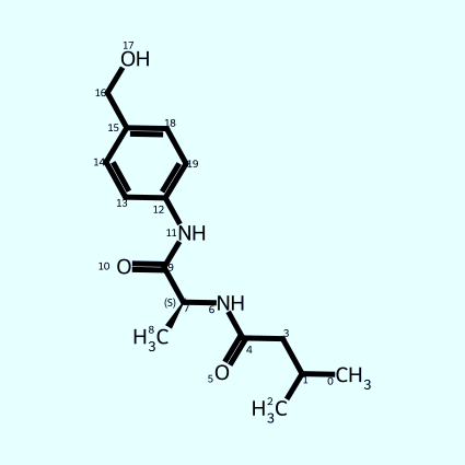 CC(C)CC(=O)N[C@@H](C)C(=O)Nc1ccc(CO)cc1